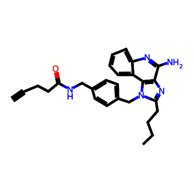 C#CCCC(=O)NCc1ccc(Cn2c(CCCC)nc3c(N)nc4ccccc4c32)cc1